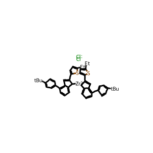 CCc1ccc(C2=Cc3c(-c4ccc(C(C)(C)C)cc4)cccc3[CH]2[Zr+2][CH]2C(c3ccc(CC)s3)=Cc3c(-c4ccc(C(C)(C)C)cc4)cccc32)s1.[Cl-].[Cl-]